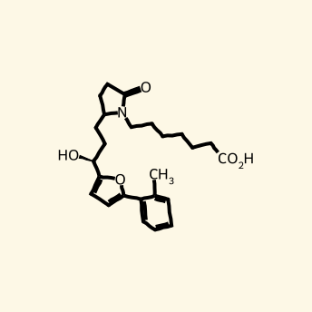 Cc1ccccc1-c1ccc([C@@H](O)CCC2CCC(=O)N2CCCCCCC(=O)O)o1